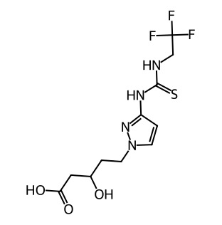 O=C(O)CC(O)CCn1ccc(NC(=S)NCC(F)(F)F)n1